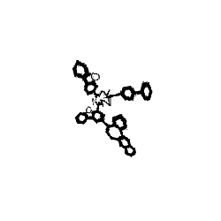 c1ccc(-c2ccc(-c3nc(-c4ccc5c(c4)oc4ccccc45)nc(-c4cc(C5CCc6cc7ccccc7cc6-c6ccccc65)cc5c4oc4ccccc45)n3)cc2)cc1